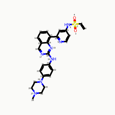 C=CS(=O)(=O)Nc1ccnc(-c2cccc3cnc(Nc4ccc(N5CCN(C)CC5)cc4)nc23)c1